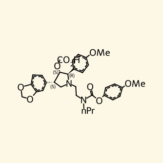 CCCN(CCN1C[C@H](c2ccc3c(c2)OCO3)[C@H](OC(=O)O)[C@H]1c1ccc(OC)cc1)C(=O)Oc1ccc(OC)cc1